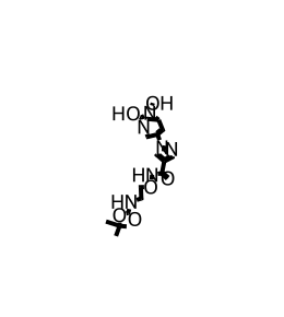 CC(C)(C)OC(=O)NCCONC(=O)c1cnn(C2=CC3CN(C2)C(O)N3O)c1